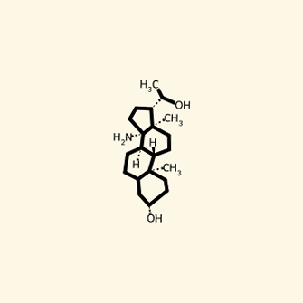 CC(O)[C@H]1CC[C@]2(N)[C@@H]3CCC4C[C@@H](O)CC[C@]4(C)[C@H]3CC[C@]12C